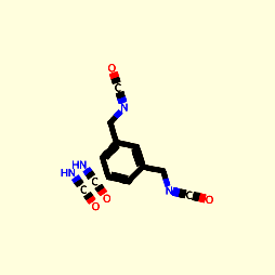 N=C=O.N=C=O.O=C=NCc1cccc(CN=C=O)c1